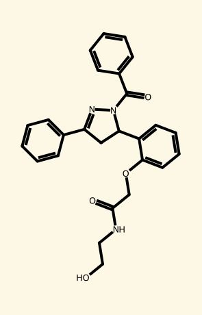 O=C(COc1ccccc1C1CC(c2ccccc2)=NN1C(=O)c1ccccc1)NCCO